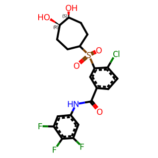 O=C(Nc1cc(F)c(F)c(F)c1)c1ccc(Cl)c(S(=O)(=O)C2CC[C@@H](O)[C@@H](O)CC2)c1